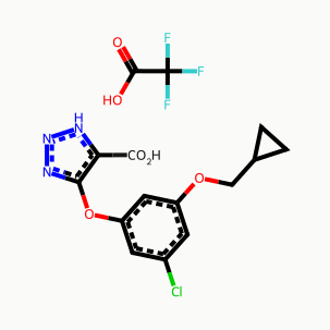 O=C(O)C(F)(F)F.O=C(O)c1[nH]nnc1Oc1cc(Cl)cc(OCC2CC2)c1